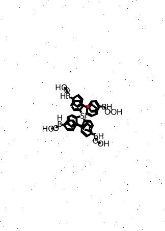 OOBc1ccc(-c2ccccc2[Si](c2ccccc2-c2ccc(BOO)cc2)(c2ccccc2-c2ccc(BOO)cc2)c2ccccc2-c2ccc(BOO)cc2)cc1